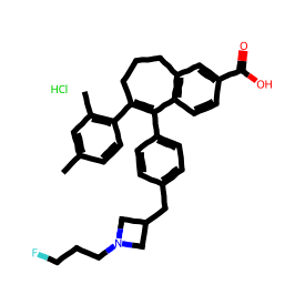 Cc1ccc(C2=C(c3ccc(CC4CN(CCCF)C4)cc3)c3ccc(C(=O)O)cc3CCC2)c(C)c1.Cl